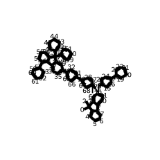 CC1(C)c2ccccc2-c2ccc(N(c3ccc(-c4ccccc4)cc3)c3ccc(-c4ccc(-c5ccc6c(c5)C(c5ccccc5)(c5ccccc5)c5cccc(-c7ccccc7)c5-6)cc4)cc3)cc21